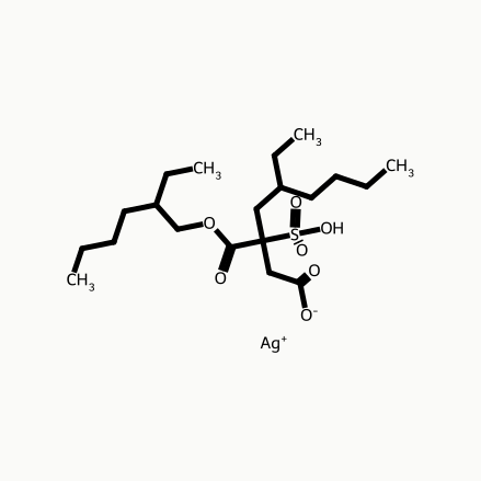 CCCCC(CC)COC(=O)C(CC(=O)[O-])(CC(CC)CCCC)S(=O)(=O)O.[Ag+]